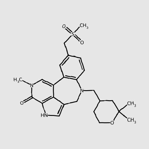 Cn1cc2c3c(c[nH]c3c1=O)CN(CC1CCOC(C)(C)C1)c1ccc(CS(C)(=O)=O)cc1-2